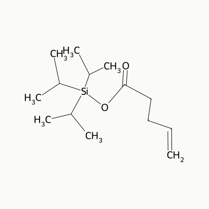 C=CCCC(=O)O[Si](C(C)C)(C(C)C)C(C)C